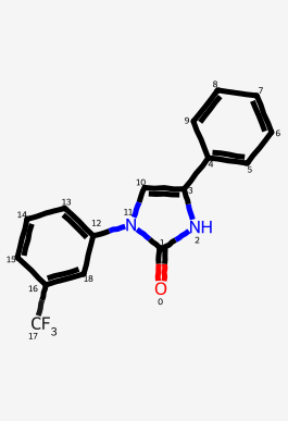 O=c1[nH]c(-c2ccccc2)cn1-c1cccc(C(F)(F)F)c1